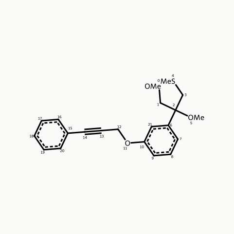 COCC(CSC)(OC)c1cccc(OCC#Cc2ccccc2)c1